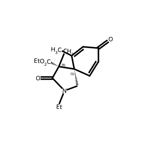 CCOC(=O)[C@@]1(C)C(=O)N(CC)C[C@]12C=CC(=O)C=C2C